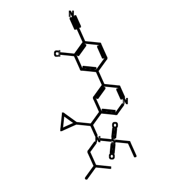 CCS(=O)(=O)N(CC(C)C)C(c1cncc(-c2ccc(C#N)c(Cl)c2)c1)C1CC1